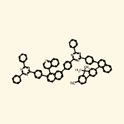 CC1(C)c2cc(C#N)ccc2-c2ccc(-c3c(-c4ccc(-c5nc(-c6ccccc6)nc(-c6ccc(-c7ccc8ccc(-c9ccc(-c%10nc(-c%11ccccc%11)nc(-c%11ccccc%11)n%10)cc9)c(-c9ccnc%10ccccc9%10)c8c7)cc6)n5)cc4)ccc4ccccc34)cc21